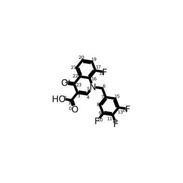 O=C(O)c1cn(Cc2cc(F)c(F)c(F)c2)c2c(F)cccc2c1=O